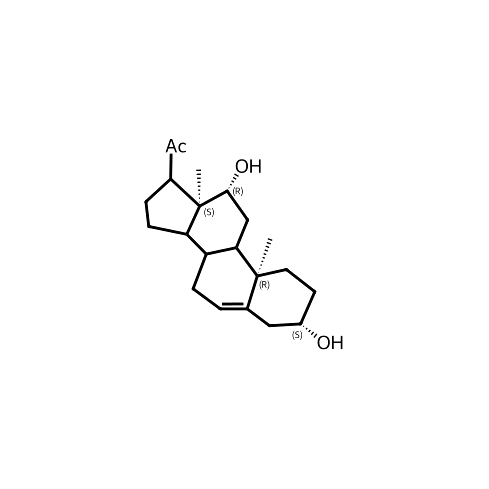 CC(=O)C1CCC2C3CC=C4C[C@@H](O)CC[C@]4(C)C3C[C@@H](O)[C@]12C